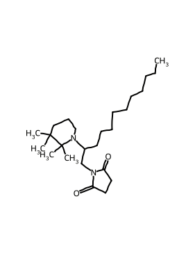 CCCCCCCCCCC(CN1C(=O)CCC1=O)N1CCCC(C)(C)C1(C)C